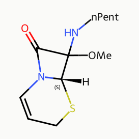 CCCCCNC1(OC)C(=O)N2C=CCS[C@H]21